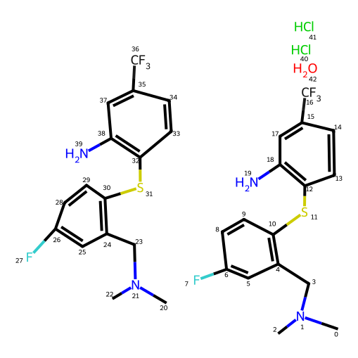 CN(C)Cc1cc(F)ccc1Sc1ccc(C(F)(F)F)cc1N.CN(C)Cc1cc(F)ccc1Sc1ccc(C(F)(F)F)cc1N.Cl.Cl.O